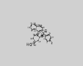 Cc1ccc(S(=O)(=O)c2cnc3ccccc3c2N2CCC(C)CC2)cc1.Cl